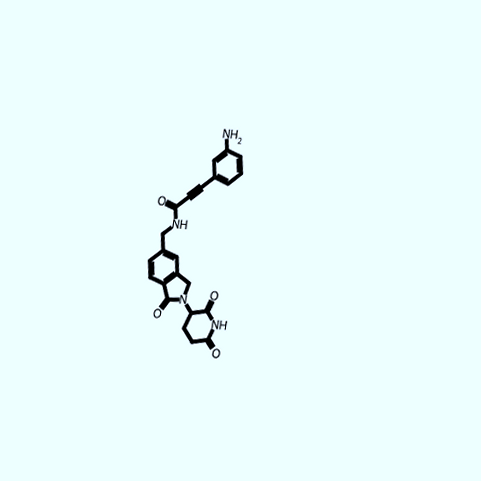 Nc1cccc(C#CC(=O)NCc2ccc3c(c2)CN(C2CCC(=O)NC2=O)C3=O)c1